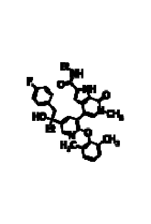 CCNC(=O)c1cc2c(-c3cc(C(O)(CC)Cc4ccc(F)cc4)cnc3Oc3c(C)cccc3C)cn(C)c(=O)c2[nH]1